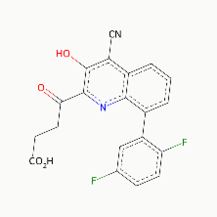 N#Cc1c(O)c(C(=O)CCC(=O)O)nc2c(-c3cc(F)ccc3F)cccc12